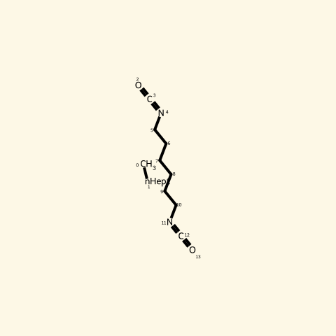 CCCCCCCC.O=C=NCCCCCCN=C=O